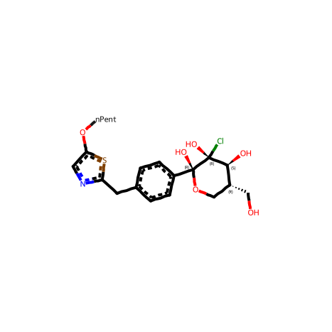 CCCCCOc1cnc(Cc2ccc([C@@]3(O)OC[C@@H](CO)[C@H](O)[C@@]3(O)Cl)cc2)s1